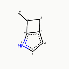 CC1Cc2cc[nH]c21